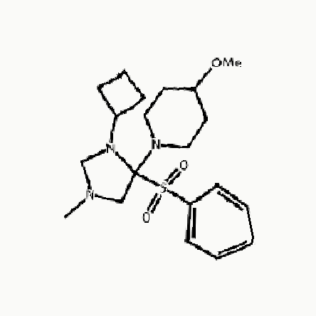 COC1CCN(C2(S(=O)(=O)c3cc[c]cc3)CN(C)CN2C2CCC2)CC1